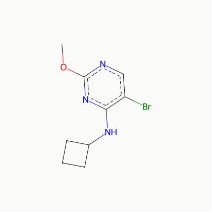 COc1ncc(Br)c(NC2CCC2)n1